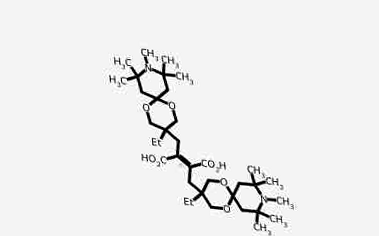 CCC1(C/C(C(=O)O)=C(/CC2(CC)COC3(CC(C)(C)N(C)C(C)(C)C3)OC2)C(=O)O)COC2(CC(C)(C)N(C)C(C)(C)C2)OC1